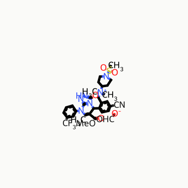 COC(=O)C1=C(C)N(c2cccc(C(F)(F)F)c2)c2n[nH]c(=O)n2C1c1ccc(C#N)cc1C[N+](C)(C)C1CCN(S(C)(=O)=O)CC1.O=C[O-]